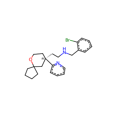 Brc1ccccc1CNCC[C@@]1(c2ccccn2)CCOC2(CCCC2)C1